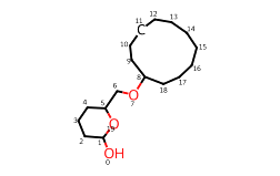 OC1CCCC(COC2CCCCCCCCCC2)O1